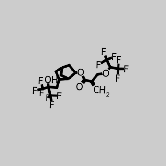 C=C(COC(C(F)(F)F)C(F)(F)F)C(=O)OC1CC2CC(CC(O)(C(F)(F)F)C(F)(F)F)C1C2